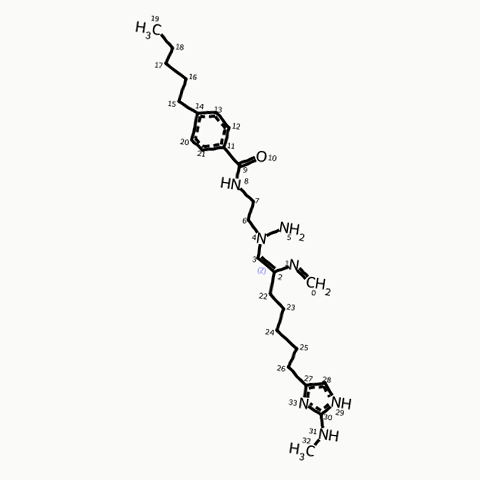 C=N/C(=C\N(N)CCNC(=O)c1ccc(CCCCC)cc1)CCCCCc1c[nH]c(NC)n1